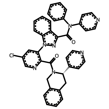 O=C(c1nn(-c2cc(Cl)cnc2C(=O)N2Cc3ccccc3C[C@H]2c2ccncc2)c2ccccc12)N(c1ccccc1)c1ccncc1